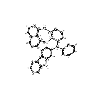 c1ccc(N(c2ccc3c(c2)oc2ccccc23)c2cccc3c2Oc2cccc4cccc(c24)O3)cc1